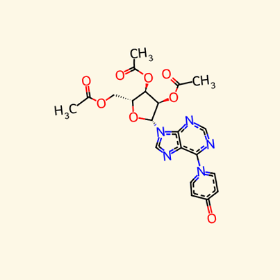 CC(=O)OC[C@H]1O[C@@H](n2cnc3c(-n4ccc(=O)cc4)ncnc32)[C@H](OC(C)=O)[C@@H]1OC(C)=O